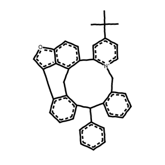 CC(C)(C)c1cc[n+]2c(c1)-c1ccc3occ4c3c1Cc1c-4cccc1C(c1ccccc1)c1ccccc1C2